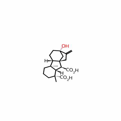 C=C1C[C@]23C[C@@]1(O)CC[C@H]2[C@]1(C)CCC[C@@](C)(C(=O)O)[C@H]1[C@@H]3C(=O)O